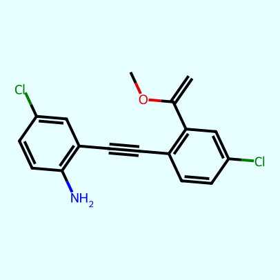 C=C(OC)c1cc(Cl)ccc1C#Cc1cc(Cl)ccc1N